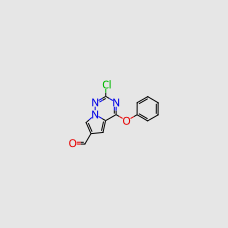 O=Cc1cc2c(Oc3ccccc3)nc(Cl)nn2c1